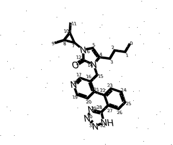 CCCCc1cn(C2C(C)C2C)c(=O)n1Cc1cnccc1-c1ccccc1-c1nnn[nH]1